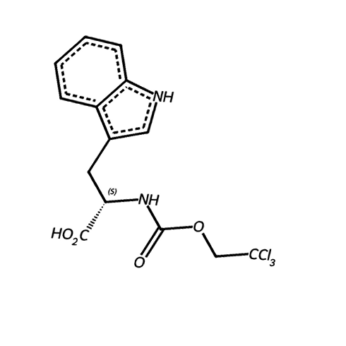 O=C(N[C@@H](Cc1c[nH]c2ccccc12)C(=O)O)OCC(Cl)(Cl)Cl